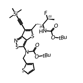 C[C@H](F)[C@@H](Cc1sc2c(N(Cc3cccs3)C(=O)OC(C)(C)C)snc2c1C#C[Si](C)(C)C)NC(=O)OC(C)(C)C